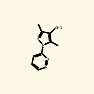 Cc1nn(-c2cccnn2)c(C)c1C=O